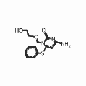 Nc1cc(Sc2ccccc2)n(COCCO)c(=O)n1